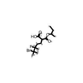 CCC(C)OC(=O)C(CCC(F)(F)C(F)(F)Br)C(=O)O